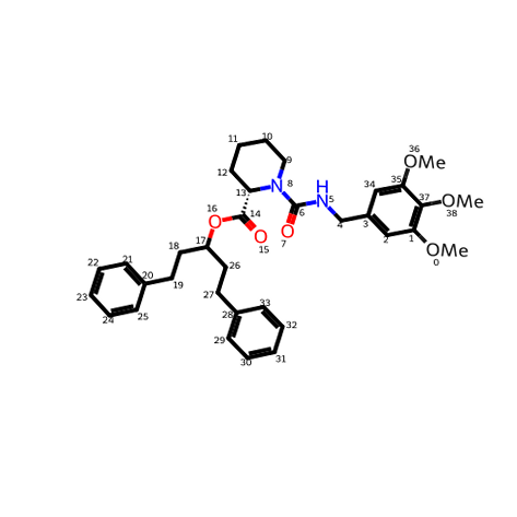 COc1cc(CNC(=O)N2CCCC[C@H]2C(=O)OC(CCc2ccccc2)CCc2ccccc2)cc(OC)c1OC